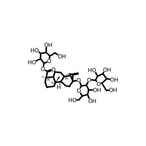 C=C1C[C@@]23CCC4[C@](C)(C(=O)OC5OC(CO)C(O)C(O)C5O)CCC[C@@]4(C)[C@@H]2CCC1(OC1OC(CO)C(O)C(O)C1OC1OC(CO)C(O)C(O)C1O)C3